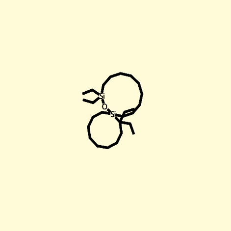 CCC1(CC)CCCCCCCC[Si]12CCCCCCCCC[Si](CC)(CC)O2